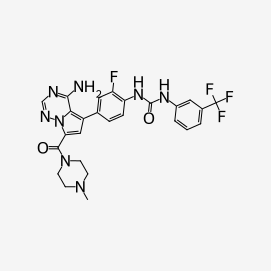 CN1CCN(C(=O)c2cc(-c3ccc(NC(=O)Nc4cccc(C(F)(F)F)c4)c(F)c3)c3c(N)ncnn23)CC1